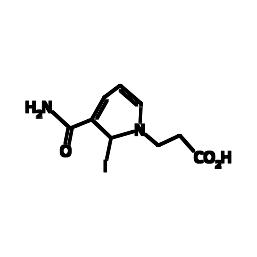 NC(=O)C1=CC=CN(CCC(=O)O)C1I